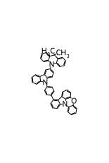 CC1(C)c2ccccc2N(c2ccc3c(c2)c2ccccc2n3-c2ccc(-c3cccc4c3c3cccc5c3n4-c3ccccc3O5)cc2)c2ccccc21